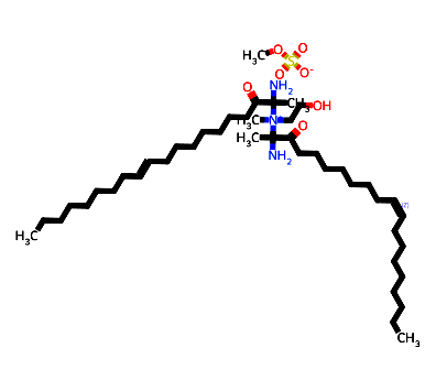 CCCCCCCCC=CCCCCCCCC(=O)C(C)(N)[N+](C)(CCO)C(C)(N)C(=O)CCCCCCC/C=C\CCCCCCCC.COS(=O)(=O)[O-]